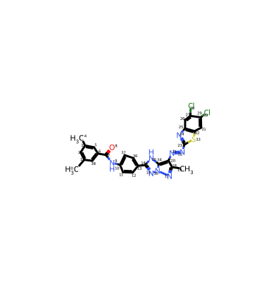 Cc1cc(C)cc(C(=O)Nc2ccc(-c3nn4nc(C)c(N=Nc5nc6cc(Cl)c(Cl)cc6s5)c4[nH]3)cc2)c1